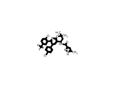 Cc1cc(C(=O)NC2CC(C)(C)Oc3nc(-c4cc(C(F)(F)F)ccc4Cl)c(-c4ccc(Cl)cc4)cc32)n[nH]1